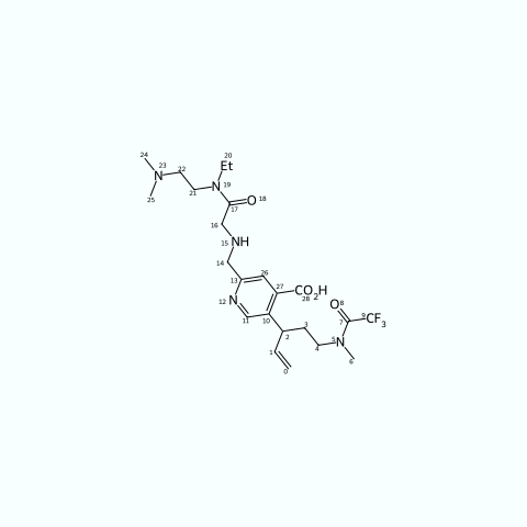 C=CC(CCN(C)C(=O)C(F)(F)F)c1cnc(CNCC(=O)N(CC)CCN(C)C)cc1C(=O)O